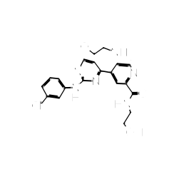 NCCO.O=C(NCCO)c1cc(-c2ccnc(Nc3cccc(Cl)c3)n2)ccn1